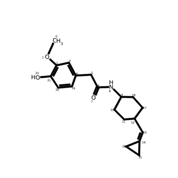 COc1cc(CC(=O)NC2CCC(C=C3CC3)CC2)ccc1O